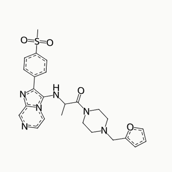 CC(Nc1c(-c2ccc(S(C)(=O)=O)cc2)nc2cnccn12)C(=O)N1CCN(Cc2ccco2)CC1